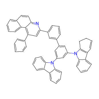 C1=Cc2c(n(-c3cc(-c4cccc(-c5cc(-c6ccccc6)c6c(ccc7ccccc76)n5)c4)cc(-n4c5ccccc5c5ccccc54)c3)c3ccccc23)CC1